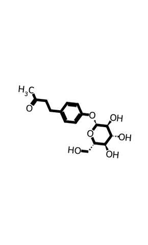 CC(=O)CCc1ccc(O[C@H]2O[C@@H](CO)[C@H](O)[C@@H](O)[C@@H]2O)cc1